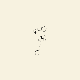 OC(CCCc1ccccc1)c1ncn2c1Cn1ncnc1-c1cc(F)ccc1-2